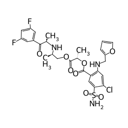 C[C@H](COC(=O)[C@H](C)OC(=O)c1cc(S(N)(=O)=O)c(Cl)cc1NCc1ccco1)N[C@H](C)C(=O)c1cc(F)cc(F)c1